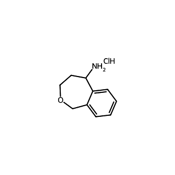 Cl.NC1CCOCc2ccccc21